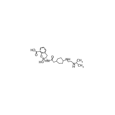 CC(C)NCCNC1CCC(CC(=O)N[C@H]2Cc3cccc(C(=O)O)c3OB2O)CC1